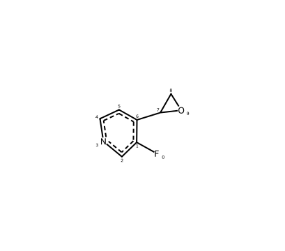 Fc1cnccc1C1CO1